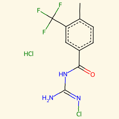 Cc1ccc(C(=O)NC(N)=NCl)cc1C(F)(F)F.Cl